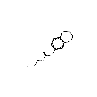 CCCCCCCCCCCCNC(=O)Nc1ccc2c(c1)OCCO2